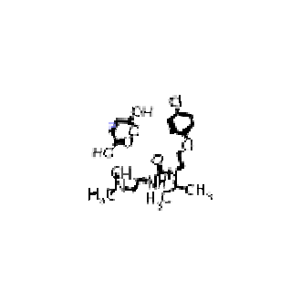 CC(C)N(CCOc1ccc(Cl)cc1)C(=O)NCCN(C)C.O=C(O)/C=C\C(=O)O